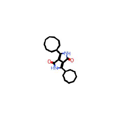 O=C1NC(C2CCCCCCC2)=C2C(=O)NC(C3CCCCCCCC3)=C12